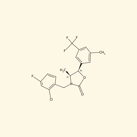 Cc1cc([C@H]2OC(=O)N(Cc3ccc(F)cc3Cl)[C@H]2C)cc(C(F)(F)F)c1